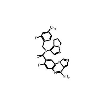 Nc1nc2cc(F)c(C(=O)N(Cc3ccc(C(F)(F)F)cc3F)c3cnn4c3CCC4)cc2n2cncc12